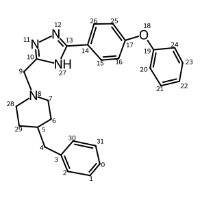 c1ccc(CC2CCN(Cc3nnc(-c4ccc(Oc5ccccc5)cc4)[nH]3)CC2)cc1